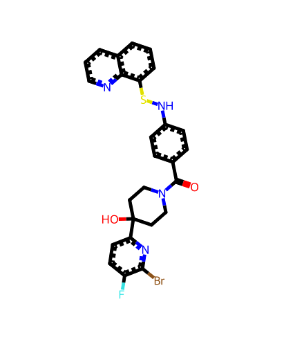 O=C(c1ccc(NSc2cccc3cccnc23)cc1)N1CCC(O)(c2ccc(F)c(Br)n2)CC1